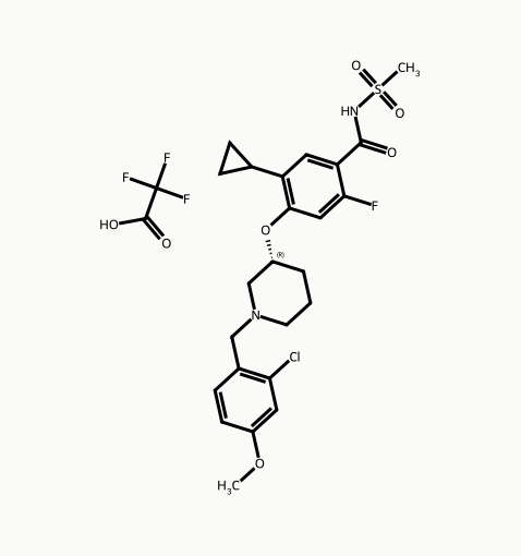 COc1ccc(CN2CCC[C@@H](Oc3cc(F)c(C(=O)NS(C)(=O)=O)cc3C3CC3)C2)c(Cl)c1.O=C(O)C(F)(F)F